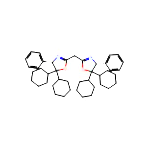 c1ccc([C@H]2N=C(CC3=N[C@H](c4ccccc4)C(C4CCCCC4)(C4CCCCC4)O3)OC2(C2CCCCC2)C2CCCCC2)cc1